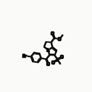 COC(=O)C1CCn2c1cc(S(C)(=O)=O)c2C(=O)c1ccc(Br)cc1